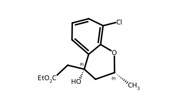 CCOC(=O)C[C@]1(O)C[C@@H](C)Oc2c(Cl)cccc21